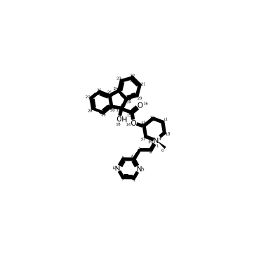 C[N@+]1(CCc2cnccn2)CCCC(OC(=O)C2(O)c3ccccc3-c3ccccc32)C1